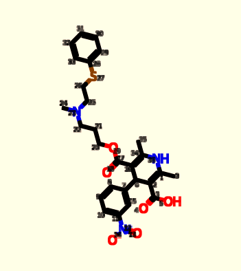 CC1=C(C(=O)O)C(c2cccc([N+](=O)[O-])c2)C(C(=O)OCCCN(C)CCSc2ccccc2)=C(C)N1